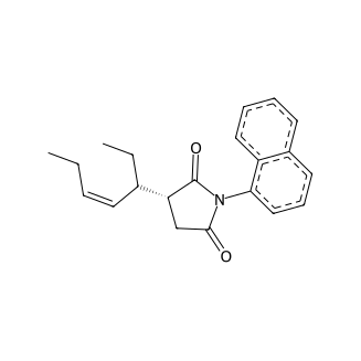 CC/C=C\C(CC)[C@H]1CC(=O)N(c2cccc3ccccc23)C1=O